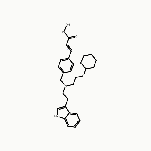 O=C(/C=C/c1ccc(CN(CCOC2CCCCO2)CCc2c[nH]c3ccccc23)cc1)NO